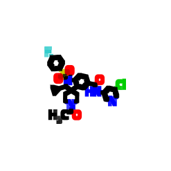 CC(=O)N1CCC2(CC1)c1cc(C(=O)Nc3cncc(Cl)c3)ccc1N(S(=O)(=O)c1ccc(F)cc1)C2C1CC1